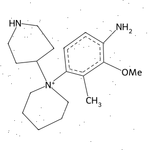 COc1c(N)ccc([N+]2(C3CCNCC3)CCCCC2)c1C